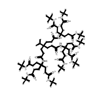 CC(C)C(CCC(=O)NC(CCC(=O)OC(C)(C)C)(CCC(=O)OC(C)(C)C)CCC(=O)OC(C)(C)C)(CCC(=O)NC(CCC(=O)OC(C)(C)C)(CCC(=O)OC(C)(C)C)CCC(=O)OC(C)(C)C)CCC(=O)NC(CCC(=O)OC(C)(C)C)(CCC(=O)OC(C)(C)C)CCC(=O)OC(C)(C)C